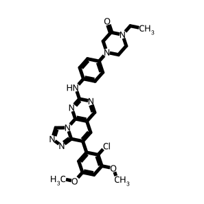 CCN1CCN(c2ccc(Nc3ncc4cc(-c5cc(OC)cc(OC)c5Cl)c5nncn5c4n3)cc2)CC1=O